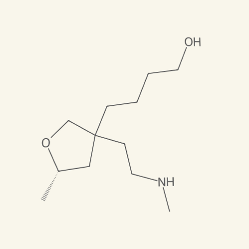 CNCCC1(CCCCO)CO[C@@H](C)C1